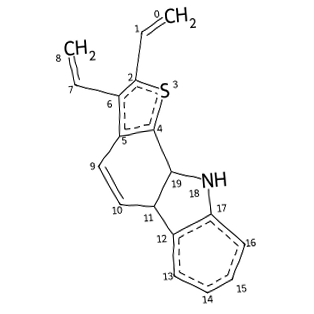 C=Cc1sc2c(c1C=C)C=CC1c3ccccc3NC21